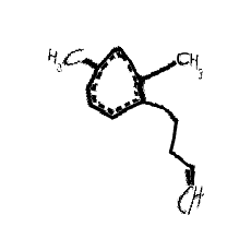 [CH]=CCCc1ccc(C)cc1C